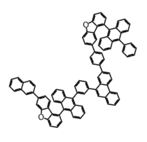 c1ccc(-c2c3ccccc3c(-c3cccc4oc5ccc(-c6ccc(-c7ccc8c(c7)c(-c7cccc(-c9c%10ccccc%10c(-c%10cccc%11oc%12cc(-c%13ccc%14ccccc%14c%13)ccc%12c%10%11)c%10ccccc9%10)c7)cc7ccccc78)cc6)cc5c34)c3ccccc23)cc1